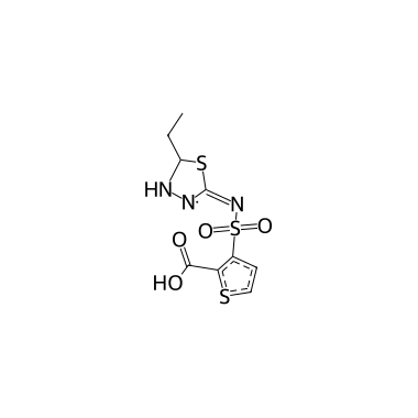 CCC1N[N]C(=NS(=O)(=O)c2ccsc2C(=O)O)S1